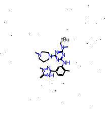 C=C1NC(c2ccc(C)c(Nc3nc(N(C)CC(C)(C)C)nc(N4CCCN(C)CC4)n3)c2)=NN1C